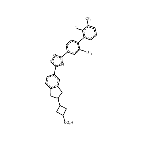 Cc1cc(-c2nc(-c3ccc4c(c3)CN(C3CC(C(=O)O)C3)C4)no2)ccc1-c1cccc(C(F)(F)F)c1F